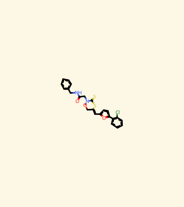 O=C(CN1OC/C(=C/c2ccc(-c3ccccc3Cl)o2)SC1=S)NCc1ccccc1